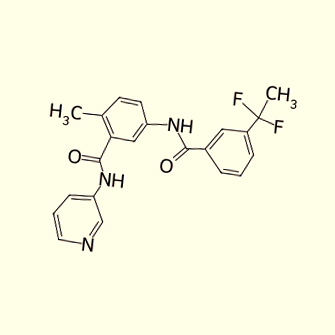 Cc1ccc(NC(=O)c2cccc(C(C)(F)F)c2)cc1C(=O)Nc1cccnc1